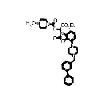 CCOC(=O)[C@@H](OC(=O)N1CCN(C)CC1)n1c(=O)oc2c(N3CCN(Cc4cccc(-c5ccccc5)c4)CC3)cccc21